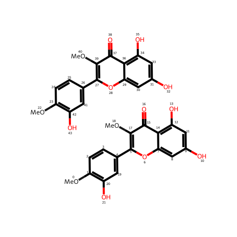 COc1ccc(-c2oc3cc(O)cc(O)c3c(=O)c2OC)cc1O.COc1ccc(-c2oc3cc(O)cc(O)c3c(=O)c2OC)cc1O